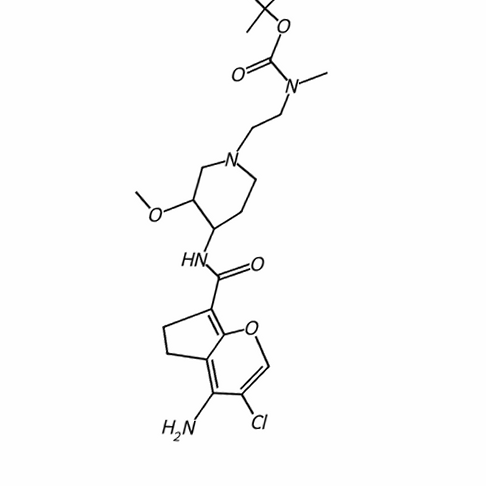 COC1CN(CCN(C)C(=O)OC(C)(C)C)CCC1NC(=O)C1=C2OC=C(Cl)C(N)=C2CC1